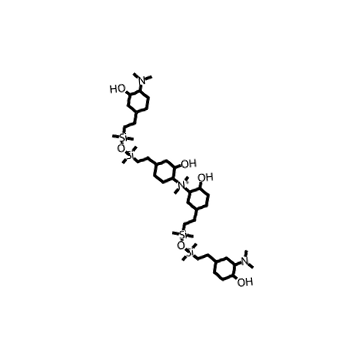 CN(C)C1CCC(CC[Si](C)(C)O[Si](C)(C)CCC2CCC([N+](C)(C)C3CC(CC[Si](C)(C)O[Si](C)(C)CCC4CCC(O)C(N(C)C)C4)CCC3O)C(O)C2)CC1O